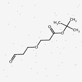 CC(C)(C)OC(=O)CCOCCC=O